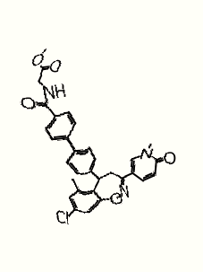 COC(=O)CNC(=O)c1ccc(-c2ccc(C3CC(c4ccc(=O)n(C)c4)=NOc4cc(Cl)cc(C)c43)cc2)cc1